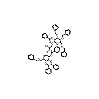 O=C(OC1[C@@H](OCC(O)CO[C@H]2OC(COCc3ccccc3)[C@@H](OCc3ccccc3)C(OCc3ccccc3)[C@@H]2OC(=O)c2ccccc2)OC(COCc2ccccc2)[C@@H](OCc2ccccc2)[C@H]1OCc1ccccc1)c1ccccc1